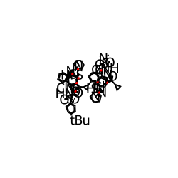 CN(C)S(=O)(=O)NC(=O)c1ccc2nc(N3C4CC(NCc5c(-c6c(Cl)ccc(C7CC7c7onc(-c8c(Cl)cccc8Cl)c7CNC7CC8CC(C7)N8c7nc8ccc(C(=O)NS(=O)(=O)c9ccc(C(C)(C)C)cc9)cc8s7)c6Cl)noc5C5CC5)CC3C4)sc2c1